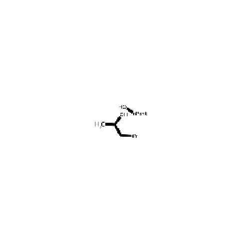 CC(C)CC(C)O.CCCCCO